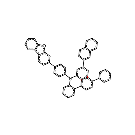 c1ccc(-c2ccc(-c3ccccc3N(c3ccc(-c4ccc5c(c4)oc4ccccc45)cc3)c3cccc(-c4ccc5ccccc5c4)c3)cc2)cc1